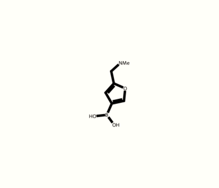 CNCc1cc(B(O)O)co1